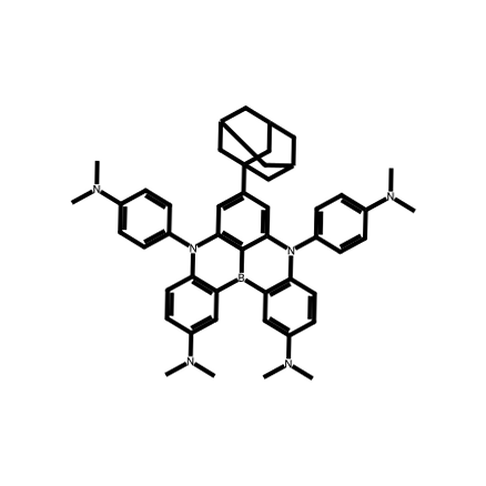 CN(C)c1ccc(N2c3ccc(N(C)C)cc3B3c4cc(N(C)C)ccc4N(c4ccc(N(C)C)cc4)c4cc(C56CC7CC(CC(C7)C5)C6)cc2c43)cc1